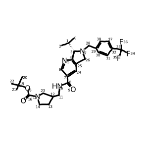 CC(C)[C@H]1c2ncc(C(=O)NCC3CCN(C(=O)OC(C)(C)C)C3)cc2CN1Cc1ccc(C(F)(F)F)cc1